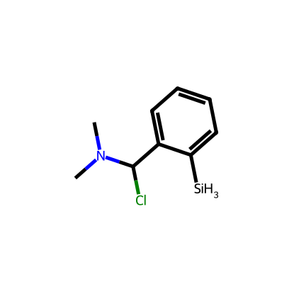 CN(C)C(Cl)c1ccccc1[SiH3]